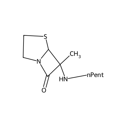 CCCCCNC1(C)C(=O)N2CCSC21